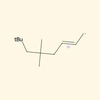 [CH2]/C=C/CC(C)(C)CC(C)(C)C